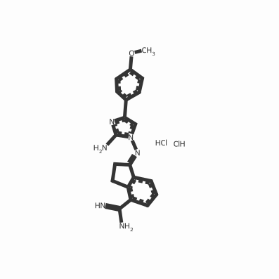 COc1ccc(-c2cn(N=C3CCc4c(C(=N)N)cccc43)c(N)n2)cc1.Cl.Cl